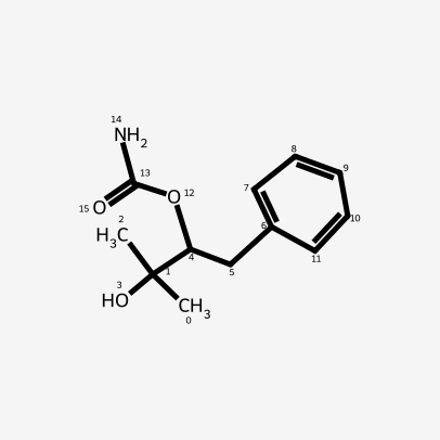 CC(C)(O)C(Cc1ccccc1)OC(N)=O